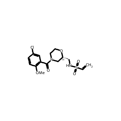 C=CS(=O)(=O)NC[C@@H]1CN(C(=O)c2cc(Cl)ccc2OC)CCO1